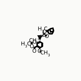 COc1ccc([C@@H]2C[C@@H]2B2OC3CC4CC(C4)[C@@]3(C)O2)c2c1C(=O)OC(C)(C)O2